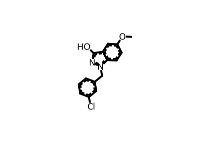 COc1ccc2c(c1)c(O)nn2Cc1cccc(Cl)c1